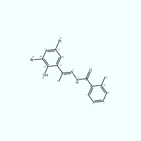 C/C(=N\NC(=O)c1ccccc1C)c1cc(Br)cc(Br)c1O